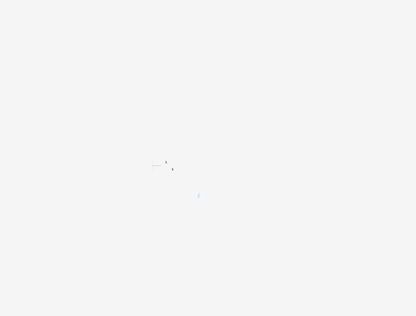 C/C=C(/NCC)c1c(C)cccc1C